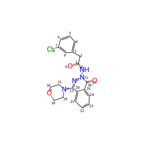 O=C(Cc1cccc(Cl)c1)Nn1nc(N2CCOCC2)c2ccccc2c1=O